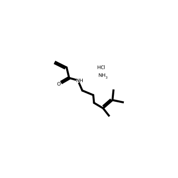 C=CC(=O)NCCCC(C)=C(C)C.Cl.N